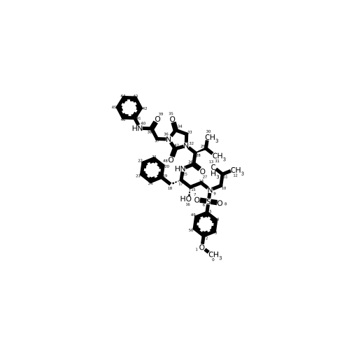 COc1ccc(S(=O)(=O)N(CC(C)C)C[C@H](O)[C@H](Cc2ccccc2)NC(=O)[C@H](C(C)C)N2CC(=O)N(CC(=O)Nc3ccccc3)C2=O)cc1